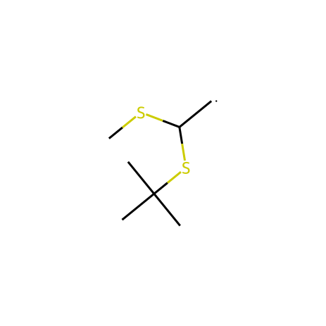 [CH2]C(SC)SC(C)(C)C